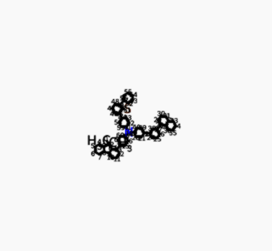 CC1(C)c2ccccc2-c2cccc(-c3ccc(N(c4ccc(-c5cccc(-c6cccc7ccccc67)c5)cc4)c4ccc(-c5cccc6c5sc5ccccc56)cc4)cc3)c21